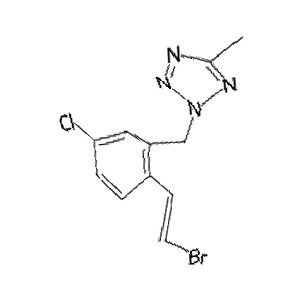 Cc1nnn(Cc2cc(Cl)ccc2/C=C/Br)n1